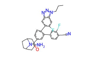 CCCn1nnc2cc(-c3ccc(C(=O)N4C5CCC4CC(N)C5)cc3-c3ccc(C#N)c(F)c3)c(F)cc21